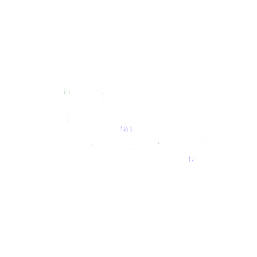 CN(C)CCCNC(=O)C(C)(C)Br